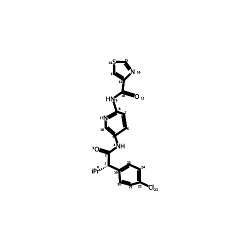 CC(C)[C@H](C(=O)Nc1ccc(NC(=O)c2cscn2)nc1)c1ccc(Cl)cc1